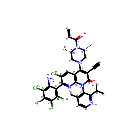 C#Cc1c(N2C[C@@H](C)N(C(=O)C=C)[C@@H](C)C2)c2cc(Cl)c(-c3c(N)c(Cl)c(F)c(F)c3F)nc2n(-c2c(C)ccnc2C(C)C)c1=O